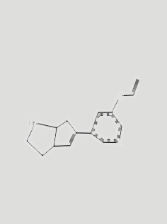 C=COc1cncc(C2=CC3CCNC3C2)c1